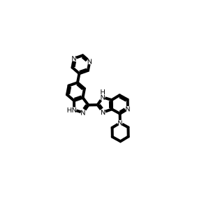 c1ncc(-c2ccc3[nH]nc(-c4nc5c(N6CCCCC6)nccc5[nH]4)c3c2)cn1